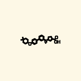 CN(c1cccc(-c2ccc(OC3CCC(C)(C)CC3)cc2)c1)C1CCC(C(=O)O)C1